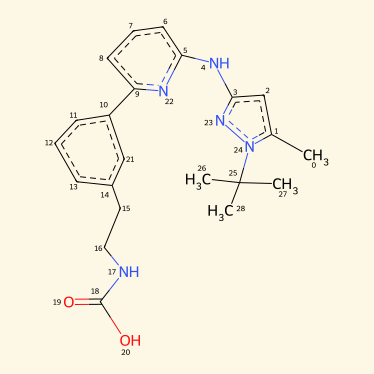 Cc1cc(Nc2cccc(-c3cccc(CCNC(=O)O)c3)n2)nn1C(C)(C)C